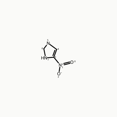 O=[N+]([O-])C1=C[N]CN1